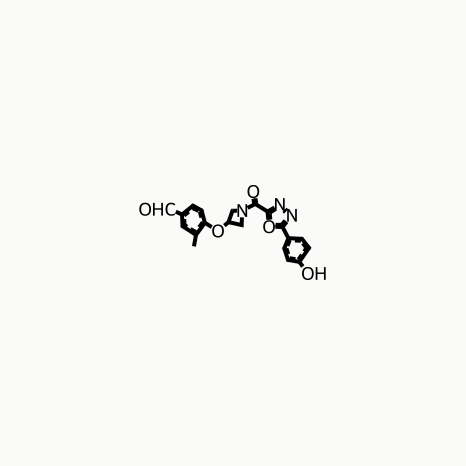 Cc1cc(C=O)ccc1OC1CN(C(=O)c2nnc(-c3ccc(O)cc3)o2)C1